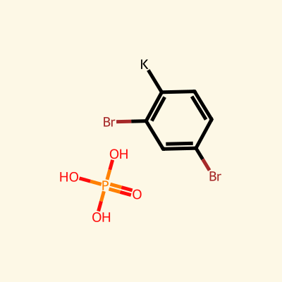 O=P(O)(O)O.[K][c]1ccc(Br)cc1Br